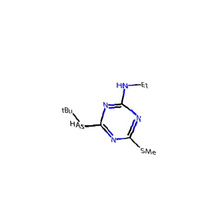 CCNc1nc(SC)nc([AsH]C(C)(C)C)n1